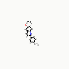 COc1ccc2nc(-c3ccc(C)cc3)c[c]c2c1